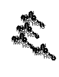 COc1c(OC[C@H](O)CN2CCC2)ccc2c1N=C(NC(=O)c1cccnc1C)N1CCN=C21.COc1c(OC[C@H](O)CN2CCCC2)ccc2c1N=C(NC(=O)c1cccnc1C)N1CCN=C21.COc1c(OC[C@H](O)CN2CCCCC2)ccc2c1N=C(NC(=O)c1cccnc1C)N1CCN=C21.COc1c(OC[C@H](O)CN2C[C@@H](C)O[C@@H](C)C2)ccc2c1N=C(NC(=O)c1cccnc1C)N1CCN=C21